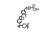 O=C(O)C1CN(Cc2ccc(-c3cc4ccc(C5(C6CCC(F)(F)CC6)CC5)cc4o3)c(F)c2)C1